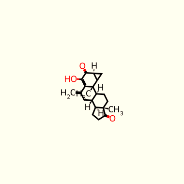 C=C1C[C@H]2[C@@H]3CCC(=O)[C@@]3(C)CC[C@@H]2[C@]2(C)C1=C(O)C(=O)[C@H]1CC12